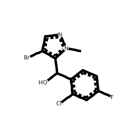 Cn1ncc(Br)c1C(O)c1ccc(F)cc1Cl